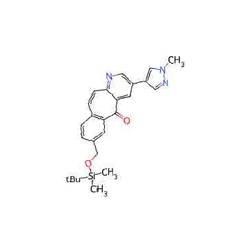 Cn1cc(-c2cnc3ccc4ccc(CO[Si](C)(C)C(C)(C)C)cc4c(=O)c3c2)cn1